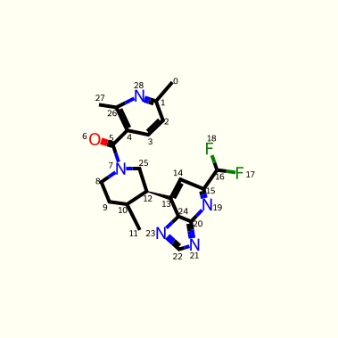 Cc1ccc(C(=O)N2CCC(C)[C@H](C3=CC(C(F)F)=NC4=NC=NC34)C2)c(C)n1